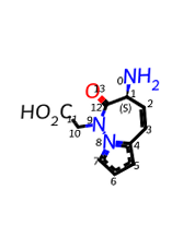 N[C@H]1C=Cc2cccn2N(CC(=O)O)C1=O